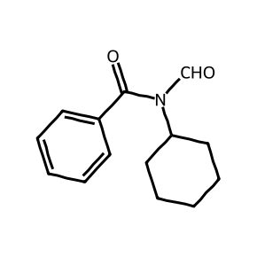 O=CN(C(=O)c1ccccc1)C1CCCCC1